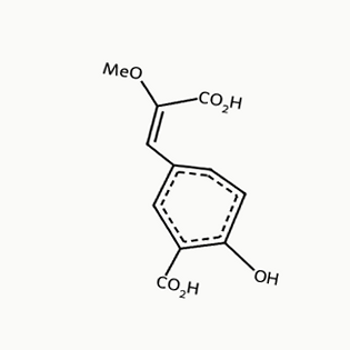 COC(=Cc1ccc(O)c(C(=O)O)c1)C(=O)O